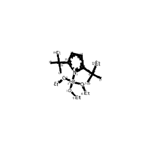 CC[O][Hf]([O]CC)([O]CC)[n]1c(C(C)(C)CC)ccc1C(C)(C)CC